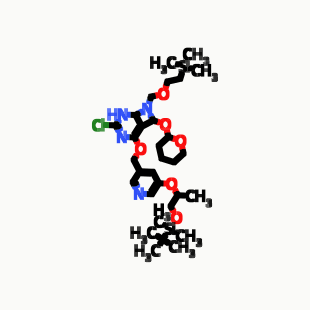 CC(CO[Si](C)(C)C(C)(C)C)Oc1cncc(COC2=C3C(NC(Cl)=N2)N(COCC[Si](C)(C)C)C3OC2CCCCO2)c1